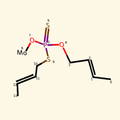 CC=CCOP(=S)([O][Mo])SCC=CC